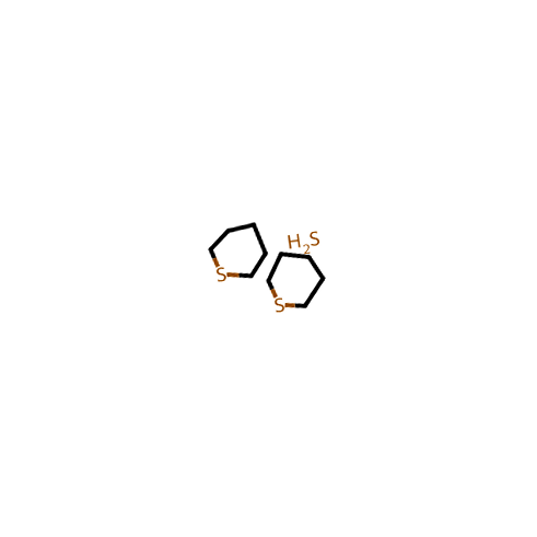 C1CCSCC1.C1CCSCC1.S